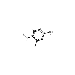 COc1ncc(O)cc1C